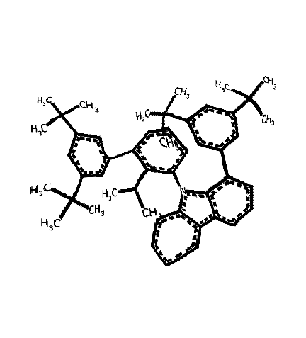 CC(C)c1c(-c2cc(C(C)(C)C)cc(C(C)(C)C)c2)cccc1-n1c2ccccc2c2cccc(-c3cc(C(C)(C)C)cc(C(C)(C)C)c3)c21